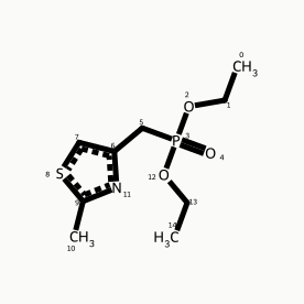 CCOP(=O)(Cc1csc(C)n1)OCC